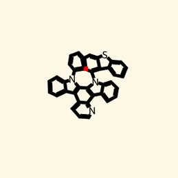 c1ccc(-n2c3ccccc3c3c4cccnc4c4c5ccccc5n(-c5cccc6sc7ccccc7c56)c4c32)cc1